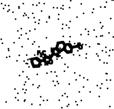 FC(F)(F)c1c(-c2ccccc2)noc1-c1nc2c(s1)-c1ccc(C3CO3)cc1CC2